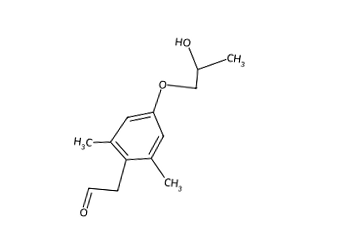 Cc1cc(OCC(C)O)cc(C)c1CC=O